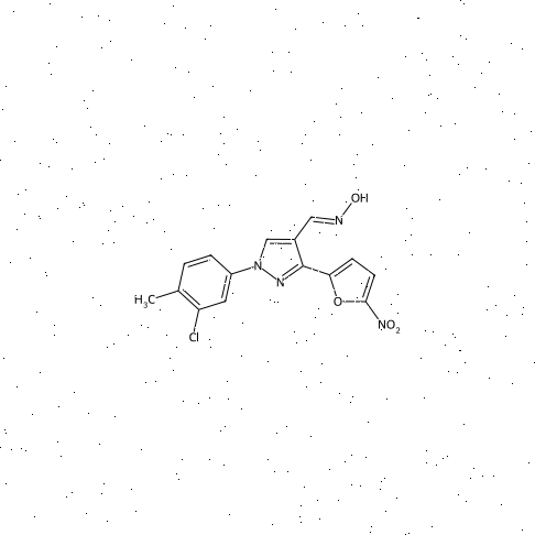 Cc1ccc(-n2cc(C=NO)c(-c3ccc([N+](=O)[O-])o3)n2)cc1Cl